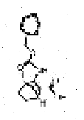 O=C(N[C@H]1[C@@H](C(=O)O)[C@H]2CC[C@@H]1O2)OCc1ccccc1